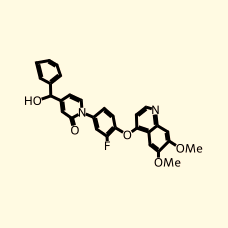 COc1cc2nccc(Oc3ccc(-n4ccc(C(O)c5ccccc5)cc4=O)cc3F)c2cc1OC